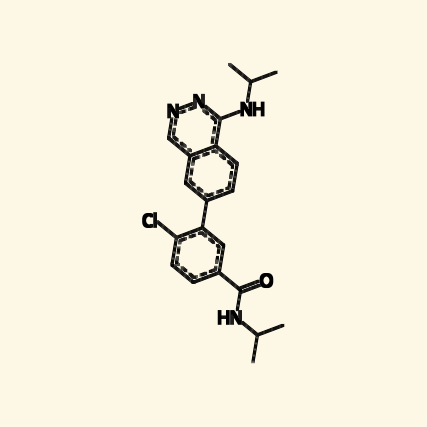 CC(C)NC(=O)c1ccc(Cl)c(-c2ccc3c(NC(C)C)nncc3c2)c1